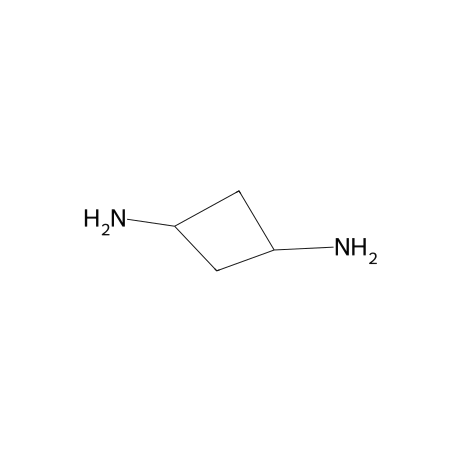 NC1CC(N)C1